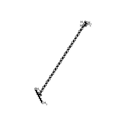 CCCCCCCCC(CCCCCC)C(=O)NCCOCCOCCOCCOCCOCCOCCOCCOCCOCCOCCOCCOCCOCCOCCOCCOCCOCCOCCOCCOCCOCCOCCOCCNC(=O)OC(C)(C)C